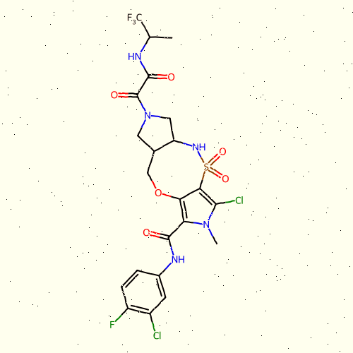 CC(NC(=O)C(=O)N1CC2COc3c(c(Cl)n(C)c3C(=O)Nc3ccc(F)c(Cl)c3)S(=O)(=O)NC2C1)C(F)(F)F